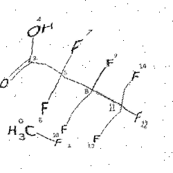 CF.O=C(O)C(F)(F)C(F)(F)C(F)(F)F